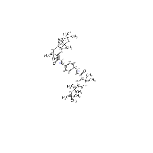 CC(C)(C)CC(C)(C)N1C=C(C(=O)/C=C/c2ccc(/C=C/C(=O)C3=CN(C(C)(C)CC(C)(C)C)CCC3(C)C)cc2)C(C)(C)CC1